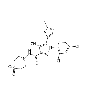 [C-]#[N+]c1c(C(=O)NN2CCS(=O)(=O)CC2)nn(-c2ccc(Cl)cc2Cl)c1-c1ccc(I)s1